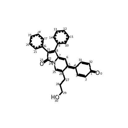 O=C1C=CC(=C2C=C3C(c4ccccc4)=C(c4ccccc4)C(=O)N3C=C2CCCO)C=C1